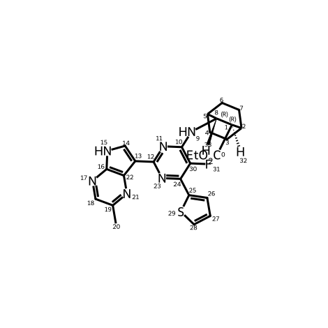 CCOC(=O)[C@@H]1C2CCC(CC2)[C@H]1Nc1nc(-c2c[nH]c3ncc(C)nc23)nc(-c2cccs2)c1F